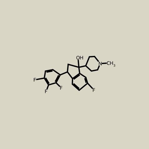 CN1CCC(C2(O)CC(c3ccc(F)c(F)c3F)c3ccc(F)cc32)CC1